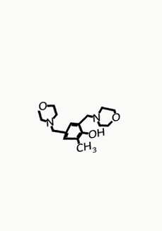 Cc1cc(CN2CCOCC2)cc(CN2CCOCC2)c1O